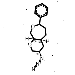 [N-]=[N+]=N[C@H]1CO[C@@H]2COC(c3ccccc3)CC[C@H]2C1